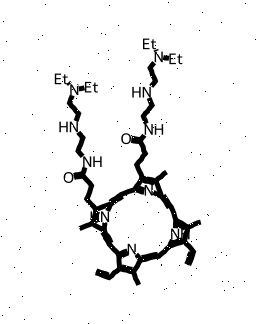 C=CC1=C(C)c2cc3[nH]c(cc4nc(cc5[nH]c(cc1n2)c(C)c5CCC(=O)NCCNCCN(CC)CC)C(CCC(=O)NCCNCCN(CC)CC)=C4C)c(C)c3C=C